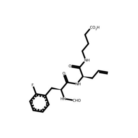 C=CC[C@@H](NC(=O)[C@H](Cc1ccccc1F)NC=O)C(=O)NCCCC(=O)O